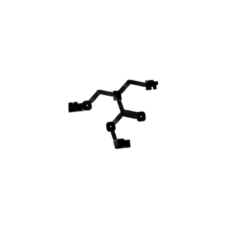 COCN(CC(C)C)C(=O)OC(C)(C)C